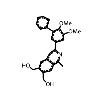 COc1cc(-c2cc3cc(CO)c(CO)cc3c(C)n2)cc(-c2ccccc2)c1OC